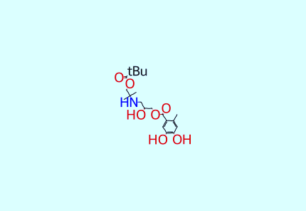 Cc1cc(O)c(O)cc1C(=O)OC[C@@H](O)CNC(C)(C)COC(=O)C(C)(C)C